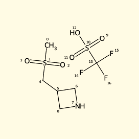 CS(=O)(=O)CC1CNC1.O=S(=O)(O)C(F)(F)F